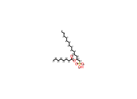 CCCCCCCCCCCCC(CS(=O)(=O)O)OC(=O)CCCCCCC